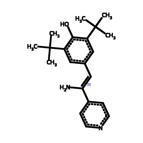 CC(C)(C)c1cc(/C=C(\N)c2ccncc2)cc(C(C)(C)C)c1O